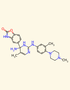 CC1=CN=C(Nc2ccc(N3CCN(C)CC3)c(C)c2)NC1(N)c1ccc2oc(=O)[nH]c2c1